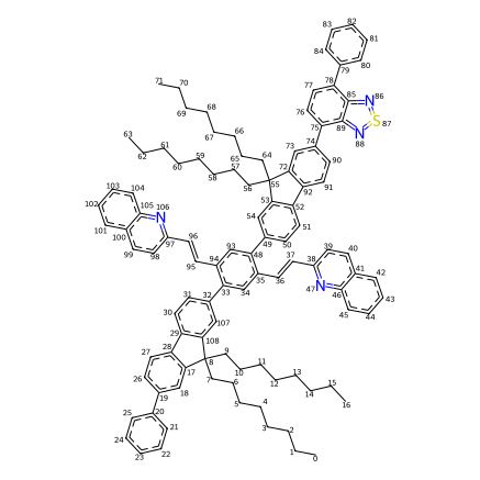 CCCCCCCCC1(CCCCCCCC)c2cc(-c3ccccc3)ccc2-c2ccc(-c3cc(/C=C/c4ccc5ccccc5n4)c(-c4ccc5c(c4)C(CCCCCCCC)(CCCCCCCC)c4cc(-c6ccc(-c7ccccc7)c7nsnc67)ccc4-5)cc3/C=C/c3ccc4ccccc4n3)cc21